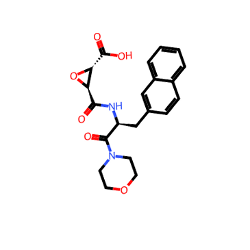 O=C(O)[C@H]1O[C@@H]1C(=O)N[C@@H](Cc1ccc2ccccc2c1)C(=O)N1CCOCC1